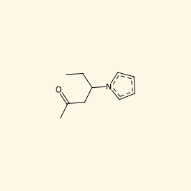 CCC(CC(C)=O)n1cccc1